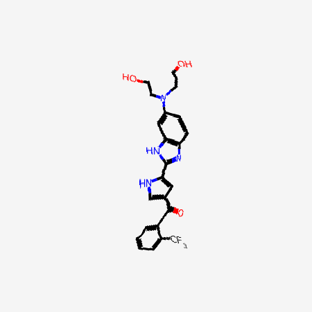 O=C(c1c[nH]c(-c2nc3ccc(N(CCO)CCO)cc3[nH]2)c1)c1ccccc1C(F)(F)F